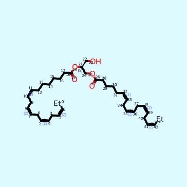 CC/C=C\C/C=C\C/C=C\C/C=C\CCCCCCC(=O)O[C@@H](CO)COC(=O)CCCC/C=C\C/C=C\C/C=C\C/C=C\CC